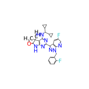 CC1(C)C(=O)Nc2nc(-c3nn(Cc4ccccc4F)c4ncc(F)cc34)nc(NC(C3CC3)C3CC3)c21